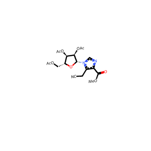 COC(=O)c1ncn([C@@H]2O[C@H](COC(C)=O)[C@@H](OC(C)=O)[C@H]2OC(C)=O)c1CC#N